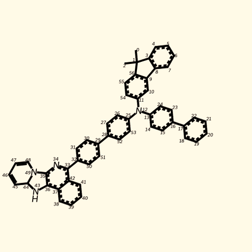 CC1(C)c2ccccc2-c2cc(N(c3ccc(-c4ccccc4)cc3)c3ccc(-c4ccc(-c5nc6c(c7ccccc57)NC5C=CC=CN65)cc4)cc3)ccc21